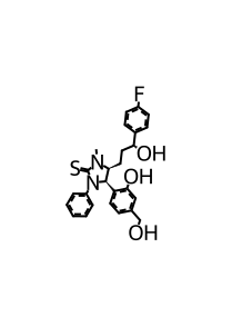 CN1C(=S)N(c2ccccc2)[C@H](c2ccc(CO)cc2O)[C@@H]1CC[C@H](O)c1ccc(F)cc1